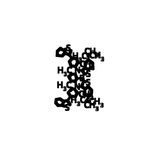 Cc1cc(-c2csc3ccccc23)cc(C)c1N1c2cccc3c2B(c2sc4ccc(C(C)(C)C)cc4c21)c1sc2ccc(C(C)(C)C)cc2c1N3c1c(C)cc(-c2csc3ccccc23)cc1C